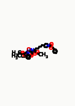 CCOC(=O)[C@H](CCCCCC1CCN(C(=O)OCc2ccccc2)CC1)N[C@H]1COc2ccccc2N(CC(=O)OC(C)(C)C)C1=O